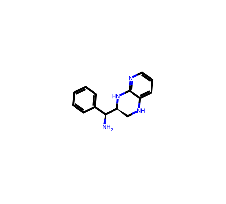 N[C@@H](c1ccccc1)[C@@H]1CNc2cccnc2N1